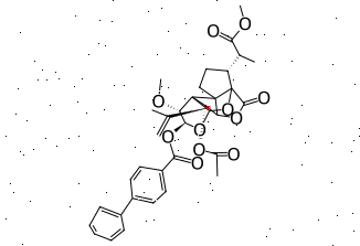 C=C(C)[C@@H]1[C@@H](OC(C)=O)C2OC(=O)C34OC5O[C@@H](OC(=O)c6ccc(-c7ccccc7)cc6)[C@H](OC)C51C23CC[C@@H]4C(C)C(=O)OC